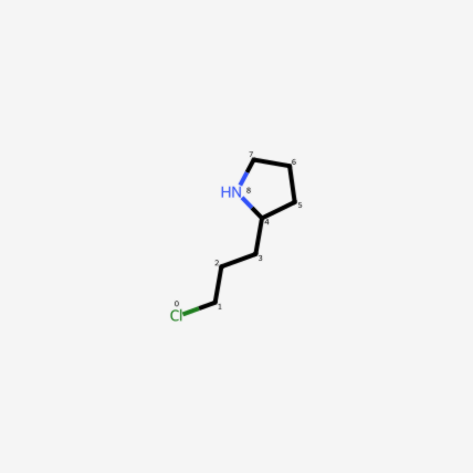 ClCCCC1CCCN1